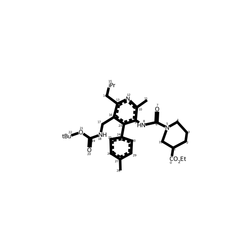 CCOC(=O)C1CCCN(C(=O)Nc2c(C)nc(CC(C)C)c(CNC(=O)OC(C)(C)C)c2-c2ccc(C)cc2)C1